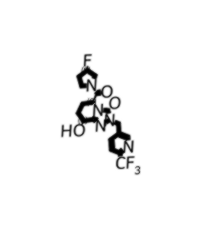 O=C([C@@H]1CC[C@@H](O)c2nn(Cc3ccc(C(F)(F)F)nc3)c(=O)n21)N1CC[C@H](F)C1